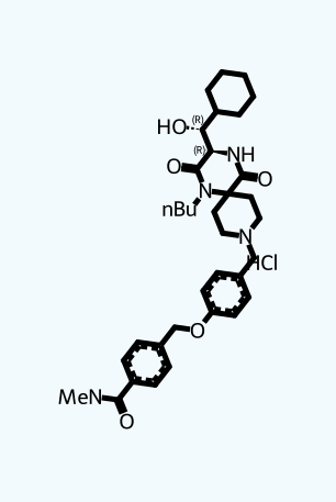 CCCCN1C(=O)[C@@H]([C@H](O)C2CCCCC2)NC(=O)C12CCN(Cc1ccc(OCc3ccc(C(=O)NC)cc3)cc1)CC2.Cl